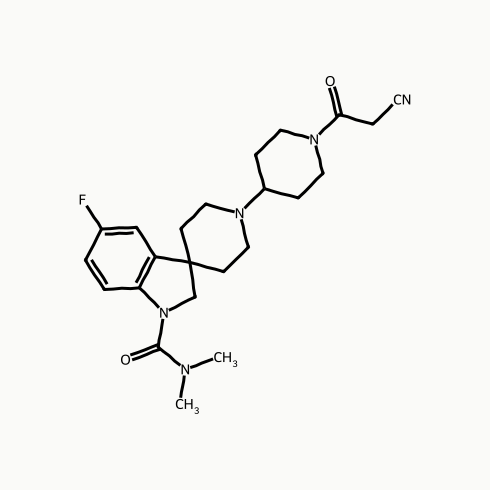 CN(C)C(=O)N1CC2(CCN(C3CCN(C(=O)CC#N)CC3)CC2)c2cc(F)ccc21